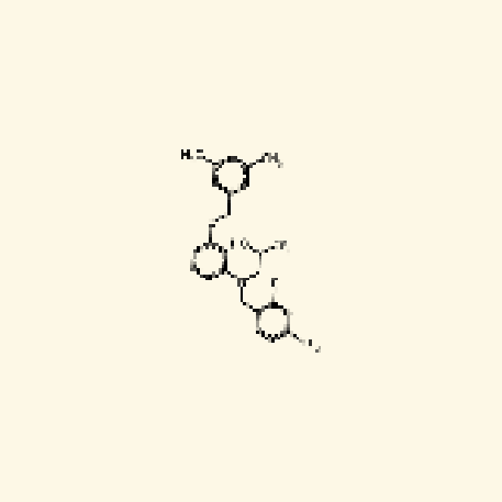 Cc1cc(C)cc(COc2cccc(N(Cc3ccc(C(F)(F)F)cc3F)CC(O)C(F)(F)F)c2)c1